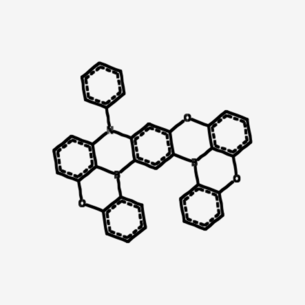 c1ccc(N2c3cc4c(cc3B3c5ccccc5Oc5cccc2c53)B2c3ccccc3Oc3cccc(c32)O4)cc1